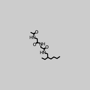 CCCCC(CC)CNC(=O)CNC(=O)CNC(C)=O